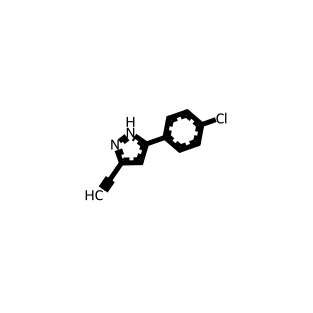 C#Cc1cc(-c2ccc(Cl)cc2)[nH]n1